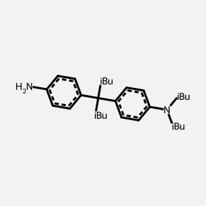 CCC(C)N(c1ccc(C(c2ccc(N)cc2)(C(C)CC)C(C)CC)cc1)C(C)CC